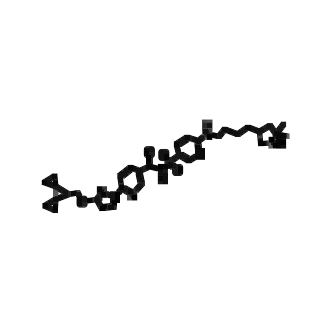 CC1(C)CC(CCCCNc2ccc(S(=O)(=O)NC(=O)c3ccc(-n4ccc(OCC5C6(CC6)C56CC6)n4)nc3)cn2)CN1